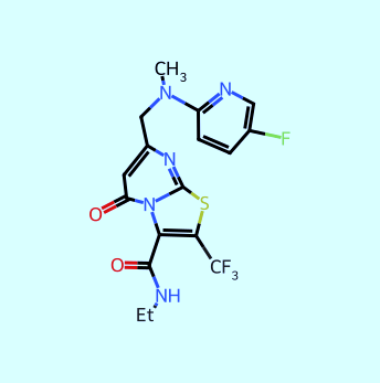 CCNC(=O)c1c(C(F)(F)F)sc2nc(CN(C)c3ccc(F)cn3)cc(=O)n12